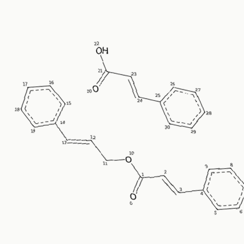 O=C(C=Cc1ccccc1)OCC=Cc1ccccc1.O=C(O)C=Cc1ccccc1